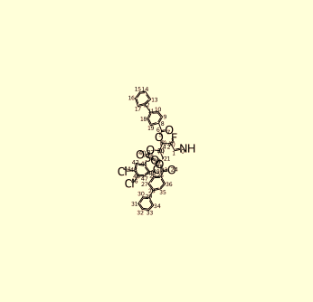 N=C[C@@H](F)[C@H](OC(=O)c1ccc(-c2ccccc2)cc1)[C@@H](COC(=O)c1ccc(-c2ccccc2)cc1)OS(=O)(=O)c1cc(Cl)c(Cl)cc1Cl